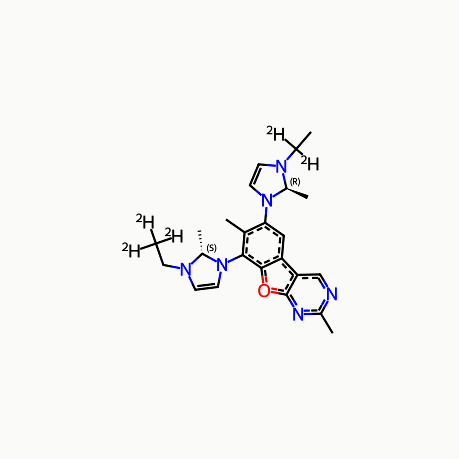 [2H]C([2H])([2H])CN1C=CN(c2c(C)c(N3C=CN(C([2H])([2H])C)[C@H]3C)cc3c2oc2nc(C)ncc23)[C@H]1C